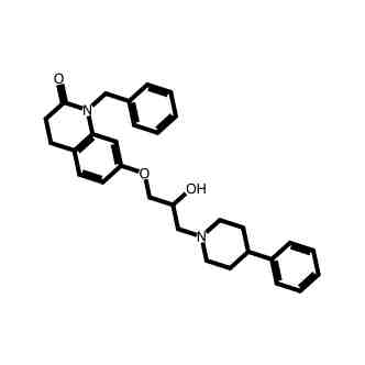 O=C1CCc2ccc(OCC(O)CN3CCC(c4ccccc4)CC3)cc2N1Cc1ccccc1